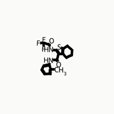 Cc1ccccc1NC(=O)c1c(NC(=O)C(F)(F)F)sc2c1CCCC2